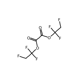 O=C(OC(F)(F)CF)C(=O)OC(F)(F)CF